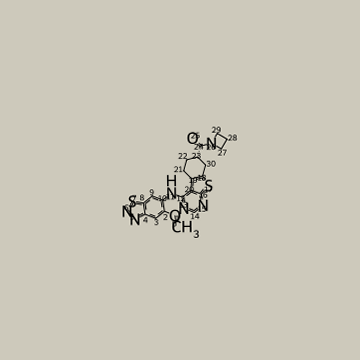 COc1cc2nnsc2cc1Nc1ncnc2sc3c(c12)CC[C@H](C(=O)N1CCC1)C3